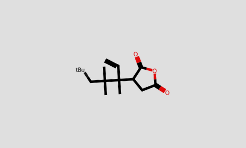 C=CC(C)(C1CC(=O)OC1=O)C(C)(C)CC(C)(C)C